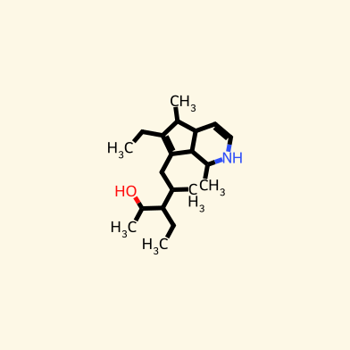 CCC1=C(CC(C)C(CC)C(C)O)C2C(C)NC=CC2C1C